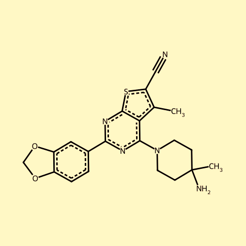 Cc1c(C#N)sc2nc(-c3ccc4c(c3)OCO4)nc(N3CCC(C)(N)CC3)c12